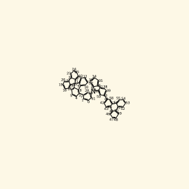 c1cc(-c2cccc3c2-c2ccccc2C32c3ccccc3-c3ccccc32)cc(-n2c3ccccc3c3ccc(-c4ccc5c6ccccc6c6ccccc6c5c4)cc32)c1